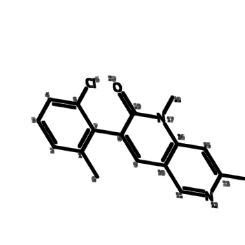 Cc1cccc(Cl)c1-c1cc2cnc(Cl)cc2n(C)c1=O